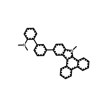 CN(C)c1ccccc1-c1cccc(-c2ccc3c(c2)c2c4ccccc4c4ccccc4c2n3C)c1